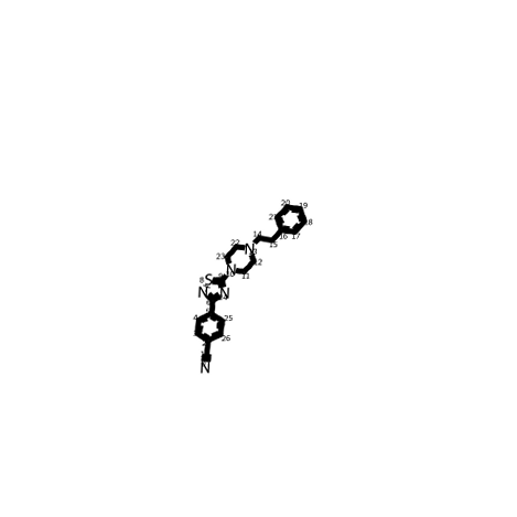 N#Cc1ccc(-c2nsc(N3CCN(CCc4ccccc4)CC3)n2)cc1